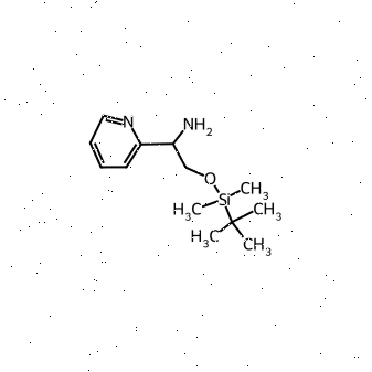 CC(C)(C)[Si](C)(C)OCC(N)c1ccccn1